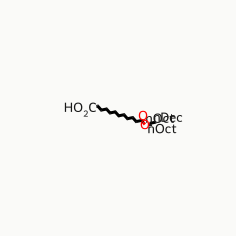 CCCCCCCCCCCC(CCCCCCCC)(CCCCCCCC)OC(=O)CCCCCCCCCCC(=O)O